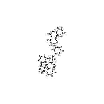 C1=CC2c3ccccc3C3(c4ccccc4Oc4cc(-c5cccc(-c6ccc7ccc8cccnc8c7n6)c5)ccc43)C2C=C1